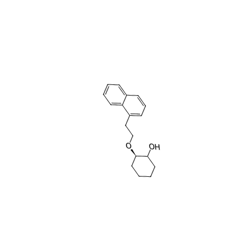 OC1CCCC[C@H]1OCCc1cccc2ccccc12